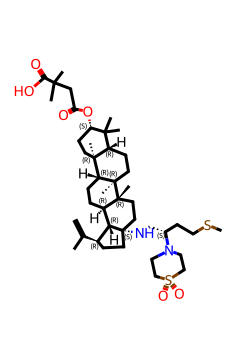 C=C(C)[C@@H]1CC[C@]2(NC[C@H](CCSC)N3CCS(=O)(=O)CC3)CC[C@]3(C)[C@H](CC[C@@H]4[C@@]5(C)CC[C@H](OC(=O)CC(C)(C)C(=O)O)C(C)(C)[C@@H]5CC[C@]43C)[C@@H]12